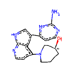 Nc1nccc(-c2c[nH]c3nccc(N4CCC[C@H](O)C4)c23)n1